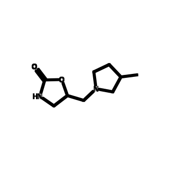 CC1CCN(CC2CNC(=O)O2)C1